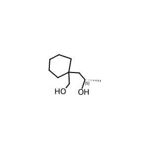 C[C@H](O)CC1(CO)CCCCC1